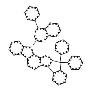 c1ccc(-c2nc(-n3c4ccccc4c4ccc5c6c(sc5c43)C(c3ccccc3)(c3ccccc3)c3ccccc3-6)nc3ccccc23)cc1